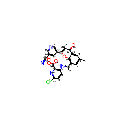 Cc1cc(C(C)Nc2ccc(Cl)nc2C(=O)O)c2oc(-c3cncc(C#N)c3)c(C)c(=O)c2c1